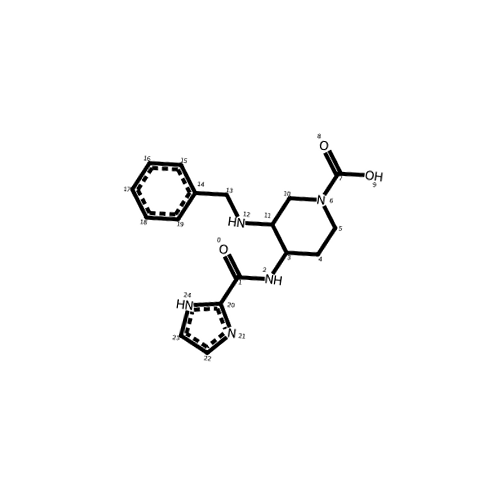 O=C(NC1CCN(C(=O)O)CC1NCc1ccccc1)c1ncc[nH]1